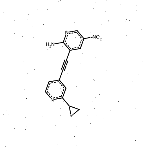 Nc1ncc([N+](=O)[O-])cc1C#Cc1ccnc(C2CC2)c1